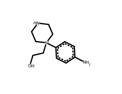 Nc1ccc([N+]2(CCO)CCNCC2)cc1